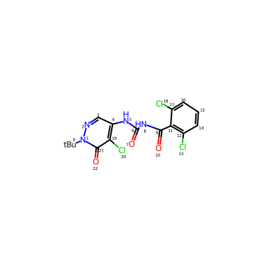 CC(C)(C)n1ncc(NC(=O)NC(=O)c2c(Cl)cccc2Cl)c(Cl)c1=O